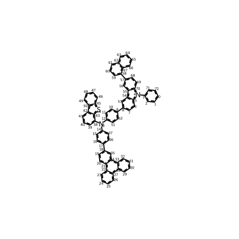 c1ccc(-n2c3ccc(-c4ccc(N(c5ccc(-c6ccc7c8ccccc8c8ccccc8c7c6)cc5)c5cccc6c5sc5ccccc56)cc4)cc3c3cc(-c4cccc5ccccc45)ccc32)cc1